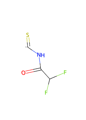 O=C(N[C]=S)C(F)F